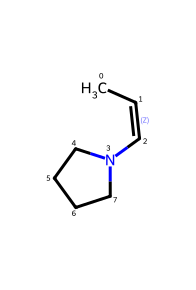 C/C=C\N1CCCC1